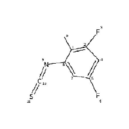 Cc1c(F)cc(F)cc1N=C=S